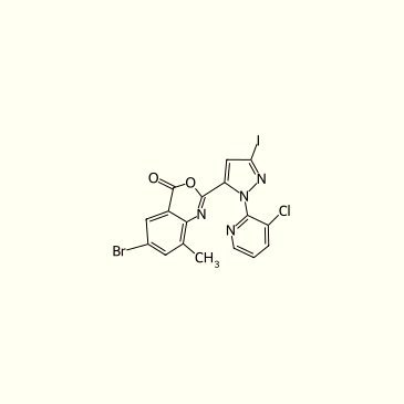 Cc1cc(Br)cc2c(=O)oc(-c3cc(I)nn3-c3ncccc3Cl)nc12